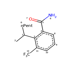 CCCCCC(C)c1c(C(N)=O)cccc1C(F)(F)F